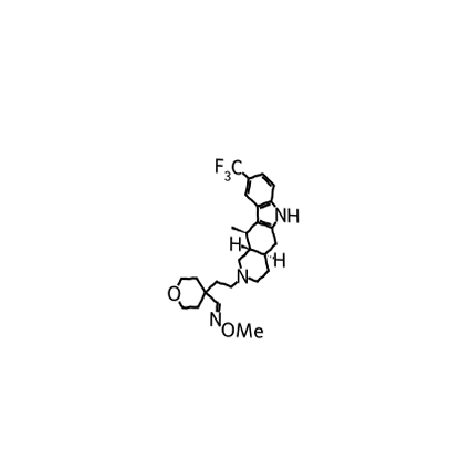 CO/N=C/C1(CCN2CC[C@@H]3Cc4[nH]c5ccc(C(F)(F)F)cc5c4[C@H](C)[C@H]3C2)CCOCC1